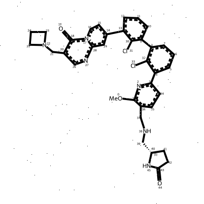 COc1nc(-c2cccc(-c3cccc(-c4ccn5c(=O)c(CN6CCC6)cnc5c4)c3Cl)c2Cl)ccc1CNC[C@@H]1CCC(=O)N1